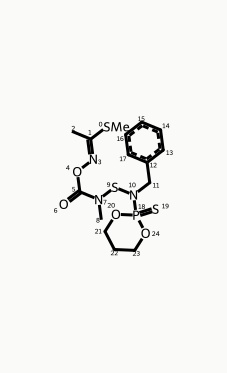 CS/C(C)=N/OC(=O)N(C)SN(Cc1ccccc1)P1(=S)OCCCO1